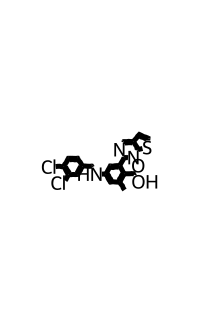 Cc1cc(NCc2ccc(Cl)c(Cl)c2)cc(-c2ncc3ccsc3n2)c1C(=O)O